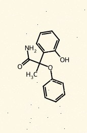 CC(Oc1ccccc1)(C(N)=O)c1ccccc1O